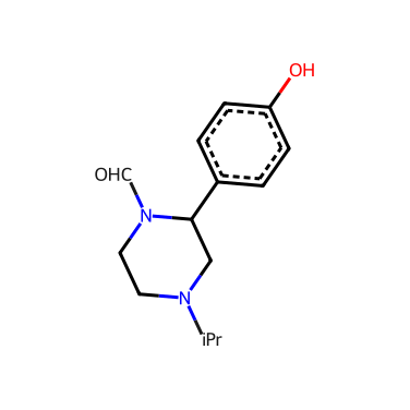 CC(C)N1CCN(C=O)C(c2ccc(O)cc2)C1